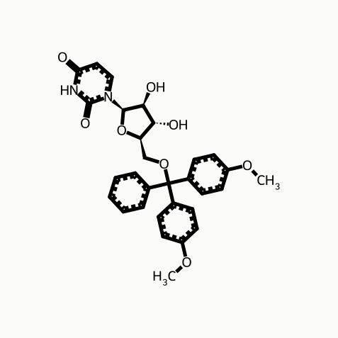 COc1ccc(C(OC[C@H]2O[C@@H](n3ccc(=O)[nH]c3=O)[C@@H](O)[C@@H]2O)(c2ccccc2)c2ccc(OC)cc2)cc1